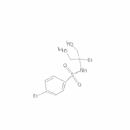 CCc1ccc(S(=O)(=O)NC(CC)(CO)CO)cc1